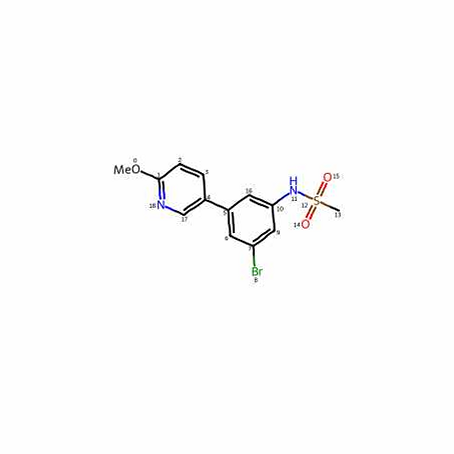 COc1ccc(-c2cc(Br)cc(NS(C)(=O)=O)c2)cn1